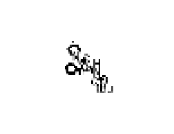 CC(C)(C)OC(=O)NCCOC(=O)N(c1ccccc1Br)N1CC[CH]CC1